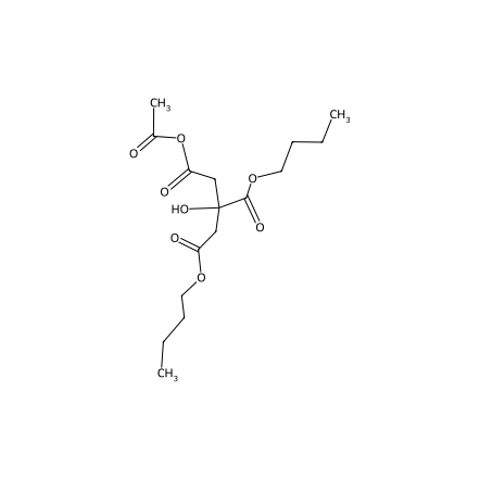 CCCCOC(=O)CC(O)(CC(=O)OC(C)=O)C(=O)OCCCC